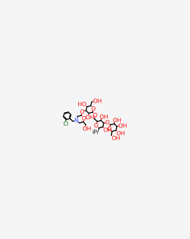 CC(C)C1OC(COC2OC(CO)C(O)C(OC3CN(Cc4ccccc4Cl)CC(CO)O3)C2O)C(O)C(OC2OC(CO)C(O)C(O)C2O)C1O